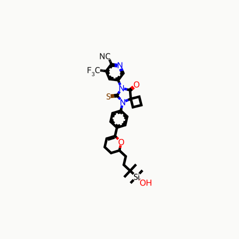 CC(C)(CCC1CCC=C(c2ccc(N3C(=S)N(c4cnc(C#N)c(C(F)(F)F)c4)C(=O)C34CCC4)cc2)O1)[Si](C)(C)O